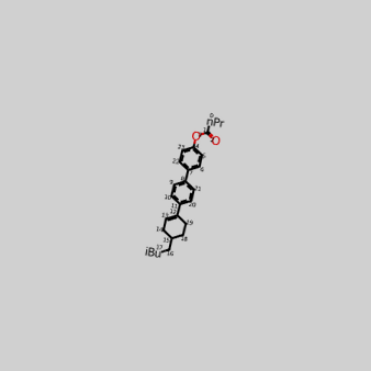 CCCC(=O)Oc1ccc(-c2ccc(C3=CCC(CC(C)CC)CC3)cc2)cc1